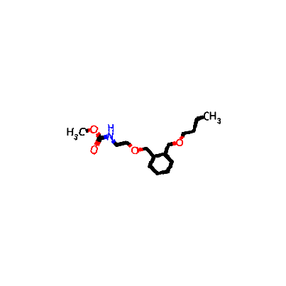 CCCCOCC1CCCCC1COCCNC(=O)OC